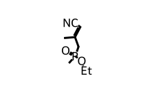 CCOP(C)(=O)C/C(C)=C/C#N